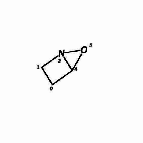 C1CN2OC12